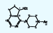 CCC1CCc2ncnc(N3CCN(C(C)=O)CC3)c21